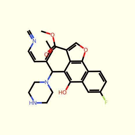 C=N/C=C\C(=C/C)C(c1c(O)c2cc(F)ccc2c2occ(C(=O)OC)c12)N1CCNCC1